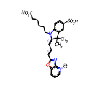 CC[n+]1cccc2oc(/C=C/C=C3/N(CCCCCC(=O)O)c4ccc(S(=O)(=O)O)cc4C3(C)C)nc21